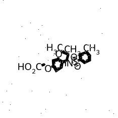 Cc1cccc(S(=O)(=O)NC2CC(C)(C)Oc3cc(OCC(=O)O)ccc32)c1